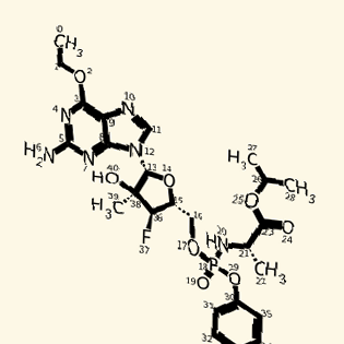 CCOc1nc(N)nc2c1ncn2[C@@H]1O[C@H](COP(=O)(N[C@@H](C)C(=O)OC(C)C)Oc2ccccc2)[C@@H](F)[C@@]1(C)O